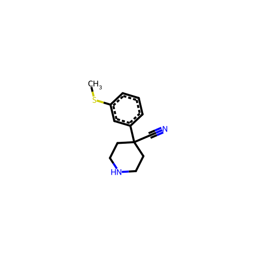 CSc1cccc(C2(C#N)CCNCC2)c1